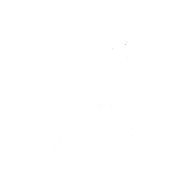 CCCCCOCC(O)(CCCCCCCC(=O)O)CCCCCCCC(=O)O